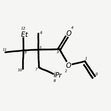 C=COC(=O)C(C)(CC(C)C)C(C)(C)CC